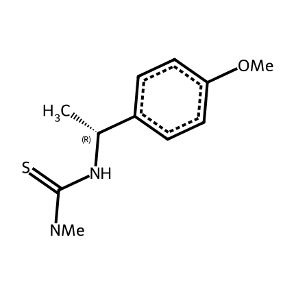 CNC(=S)N[C@H](C)c1ccc(OC)cc1